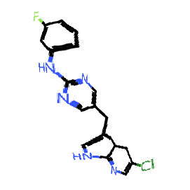 Fc1cccc(Nc2ncc(CC3=CNC4=NC=C(Cl)CC34)cn2)c1